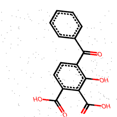 O=C(c1ccccc1)c1ccc(C(=O)O)c(C(=O)O)c1O